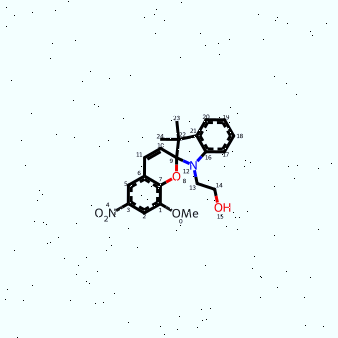 COc1cc([N+](=O)[O-])cc2c1OC1(C=C2)N(CCO)c2ccccc2C1(C)C